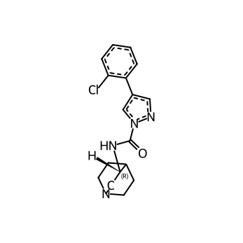 O=C(N[C@H]1CN2CCC1CC2)n1cc(-c2ccccc2Cl)cn1